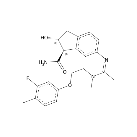 CC(=Nc1ccc2c(c1)[C@@H](C(N)=O)[C@H](O)C2)N(C)CCOc1ccc(F)c(F)c1